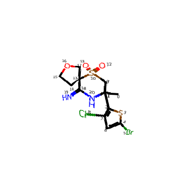 CC1(c2sc(Br)cc2Cl)CS(=O)(=O)[C@]2(CCOC2)C(=N)N1